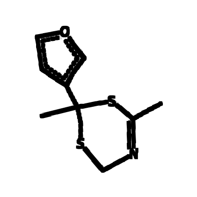 CC1=NCSC(C)(c2ccoc2)S1